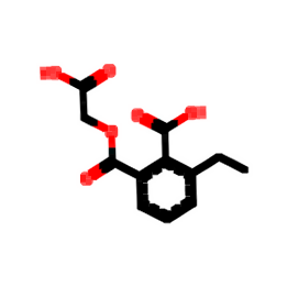 CCc1cccc(C(=O)OCC(=O)O)c1C(=O)O